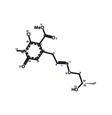 COC(=O)c1c(C/C=N/OC[C@H](C)O)cc(=O)n(C)c1Cl